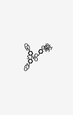 CC(C)[Si](Oc1ccc(COC(=O)N2c3ccc(N4CCOCC4)cc3Sc3cc(N4CCOCC4)ccc32)cc1)(C(C)C)C(C)C